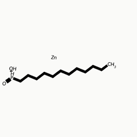 CCCCCCCCCCCC[PH](=O)O.[Zn]